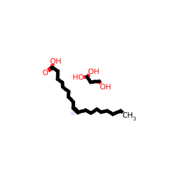 CCCCCCCC/C=C\CCCCCCCC(=O)O.OCCC(O)O